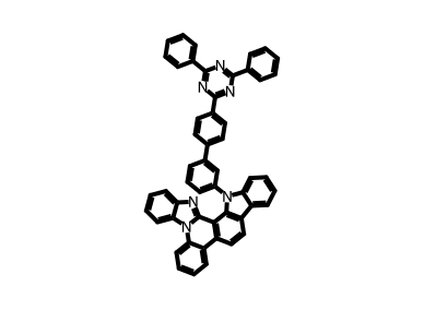 c1ccc(-c2nc(-c3ccccc3)nc(-c3ccc(-c4cccc(-n5c6ccccc6c6ccc7c8ccccc8n8c9ccccc9nc8c7c65)c4)cc3)n2)cc1